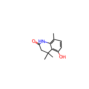 Cc1ccc(O)c2c1NC(=O)CC2(C)C